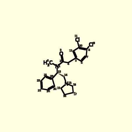 CN(C(=O)Cc1ccc(Cl)c(Cl)c1)[C@H](CN1C[CH]CC1)c1ccccc1